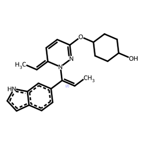 CC=C1C=CC(OC2CCC(O)CC2)=NN1/C(=C\C)c1ccc2cc[nH]c2c1